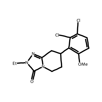 CCn1nc2n(c1=O)CCC(c1c(OC)ccc(Cl)c1Cl)C2